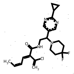 C=C(Cl)/C(=C\C=C/C)C(=O)NCC(c1cnc(C2CC2)nc1)N1CCC(F)(F)CC1